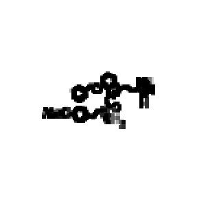 COc1ccc(CCN(C)C(=O)Cn2cc(CCc3nnn[nH]3)c3cccc(OCc4ccccc4)c32)cc1